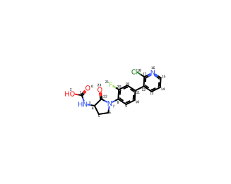 O=C(O)NC1CCN(c2ccc(-c3cccnc3Cl)cc2F)C1=O